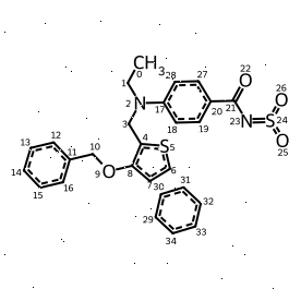 CCN(Cc1sccc1OCc1ccccc1)c1ccc(C(=O)N=S(=O)=O)cc1.c1ccccc1